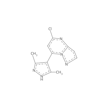 Cc1n[nH]c(C)c1-c1cc(Cl)nc2ccnn12